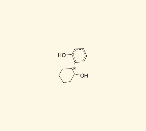 Oc1ccccc1[C@H]1CCCCC1O